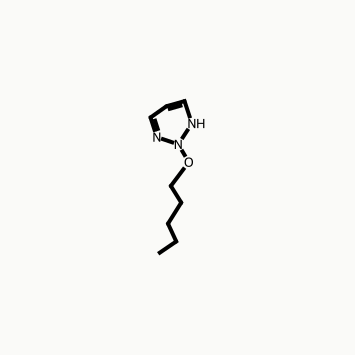 CCCCCON1N=CC=CN1